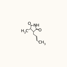 CC=CCC1C(=O)NC(=O)C1C